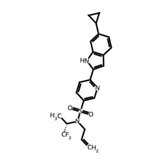 C=CCN([C@@H](C)C(F)(F)F)S(=O)(=O)c1ccc(-c2cc3ccc(C4CC4)cc3[nH]2)nc1